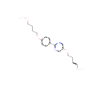 CCCCC=CCCOc1cnc(-c2ccc(OCCCCOCCC)cc2)nc1